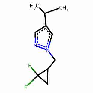 CC(C)c1cnn(CC2CC2(F)F)c1